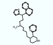 CN(CCCCN1CCNCC1c1ccccn1)CCC(c1cccs1)c1cccc2ccccc12